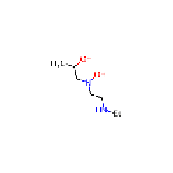 CCNCCN(O)CC(C)O